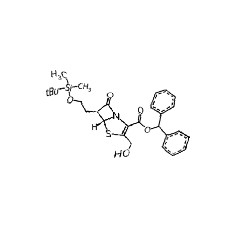 CC(C)(C)[Si](C)(C)OCC[C@H]1C(=O)N2C(C(=O)OC(c3ccccc3)c3ccccc3)=C(CO)S[C@H]12